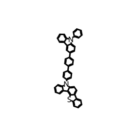 c1ccc(-n2c3ccccc3c3cc(-c4ccc(-c5ccc(-n6c7ccccc7c7c8sc9ccccc9c8ccc76)cc5)cc4)ccc32)cc1